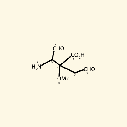 COC(CC=O)(C(=O)O)C(N)C=O